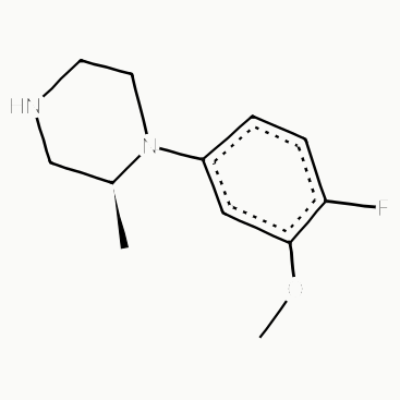 COc1cc(N2CCNC[C@@H]2C)ccc1F